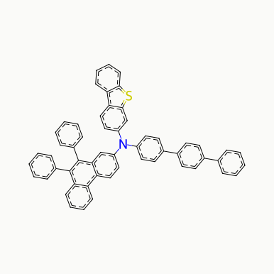 c1ccc(-c2ccc(-c3ccc(N(c4ccc5c(c4)sc4ccccc45)c4ccc5c(c4)c(-c4ccccc4)c(-c4ccccc4)c4ccccc45)cc3)cc2)cc1